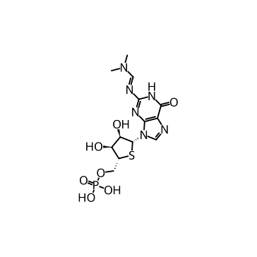 CN(C)/C=N/c1nc2c(ncn2[C@@H]2S[C@H](COP(=O)(O)O)[C@@H](O)[C@H]2O)c(=O)[nH]1